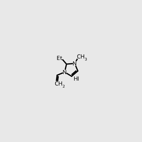 C=CN1C=CN(C)C1CC.I